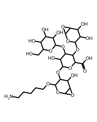 NCCCCCOC1OC2OC2C(O)C1OC1OC(C(=O)O)C(OC2OC3OC3C(O)C2O)C(OC2OC(CO)C(O)C(O)C2O)C1O